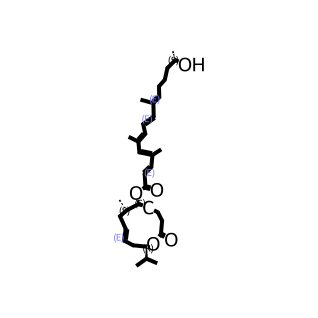 CC(=C/C=C/C(C)=C/CCC[C@H](C)O)C=C(C)/C=C/C(=O)O[C@H]1CCCC(=O)O[C@@H](C(C)C)C/C=C/C[C@@H]1C